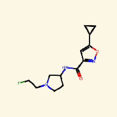 O=C(NC1CCN(CCF)C1)c1cc(C2CC2)on1